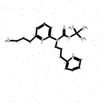 CC(C)(C)OC(=O)N(CCCc1ccccn1)c1cccc(CCCO)n1